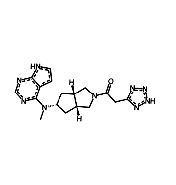 CN(c1ncnc2[nH]ccc12)[C@@H]1C[C@@H]2CN(C(=O)Cc3nn[nH]n3)C[C@@H]2C1